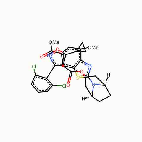 COC(=O)c1cc(OC)c2nc(N3[C@@H]4CC[C@H]3C[C@@H](OC(=O)c3c(-c5c(Cl)cccc5Cl)noc3C3CC3)C4)sc2c1